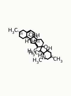 CC1=C2C[C@H]3[C@@H](CC=C4C[C@@H](C)CC[C@@]43C)[C@@H]2CC[C@]12O[C@@H]1C[C@H](C)CN(C)[C@H]1[C@H]2C